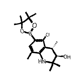 Cc1cc(B2OC(C)(C)C(C)(C)O2)c(Cl)c2c1NC(C)(C)[C@H](O)[C@H]2C